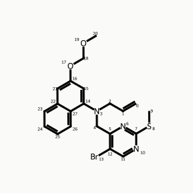 C=CCN(Cc1nc(SC)ncc1Br)c1cc(OCOC)cc2ccccc12